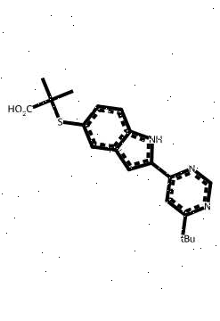 CC(C)(Sc1ccc2[nH]c(-c3cc(C(C)(C)C)ncn3)cc2c1)C(=O)O